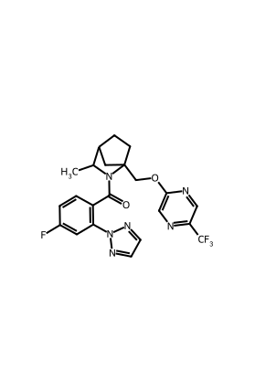 CC1C2CCC(COc3cnc(C(F)(F)F)cn3)(C2)N1C(=O)c1ccc(F)cc1-n1nccn1